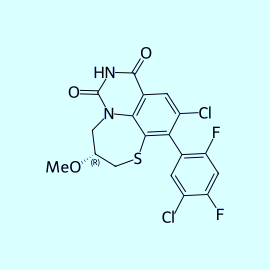 CO[C@H]1CSc2c(-c3cc(Cl)c(F)cc3F)c(Cl)cc3c(=O)[nH]c(=O)n(c23)C1